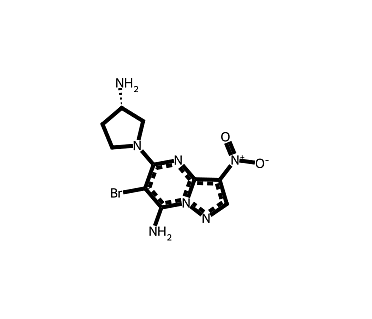 Nc1c(Br)c(N2CC[C@H](N)C2)nc2c([N+](=O)[O-])cnn12